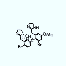 COc1cc(Br)c(C)c(CC2=NCCN2)c1.Cc1cccc(Br)c1CC1=NCCN1